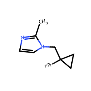 CCCC1(Cn2ccnc2C)CC1